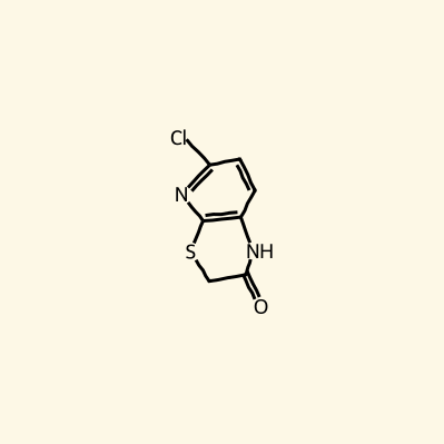 O=C1CSc2nc(Cl)ccc2N1